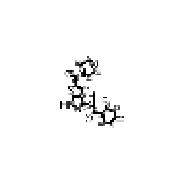 O=C(Nc1n[nH]c2sc(C(=O)N3CCOCC3)cc12)c1ccccc1F